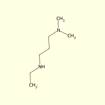 [CH2]CNCCCN(C)C